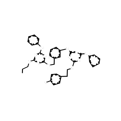 Cc1ccc(Nc2nc(NCCc3ccc(N)cc3)nc(Nc3ccccc3)n2)cc1CNc1nc(NCCO)nc(Nc2ccccc2)n1